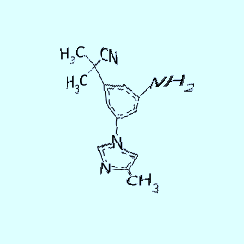 Cc1cn(-c2cc(N)cc(C(C)(C)C#N)c2)cn1